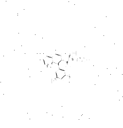 CON(C)C(=O)c1ccc2cccnc2c1-c1cc(F)cc(F)c1